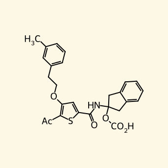 CC(=O)c1sc(C(=O)NC2(OC(=O)O)Cc3ccccc3C2)cc1OCCc1cccc(C)c1